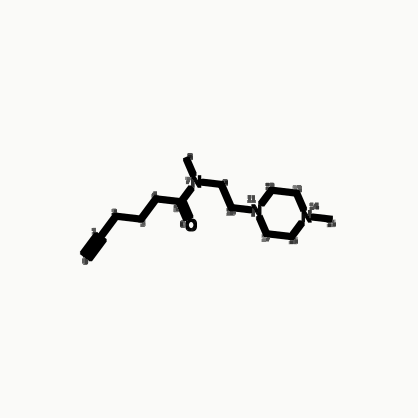 C#CCCCC(=O)N(C)CCN1CCN(C)CC1